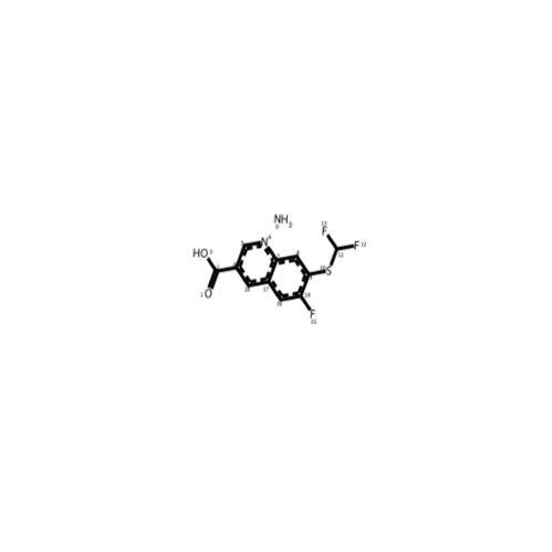 N.O=C(O)c1cnc2cc(SC(F)F)c(F)cc2c1